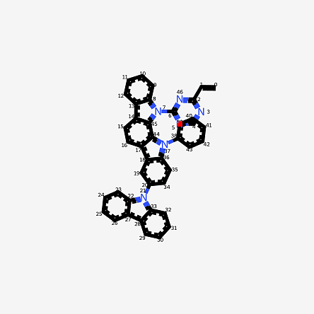 C=Cc1ncnc(-n2c3ccccc3c3ccc4c5cc(-n6c7ccccc7c7ccccc76)ccc5n(-c5ccccc5)c4c32)n1